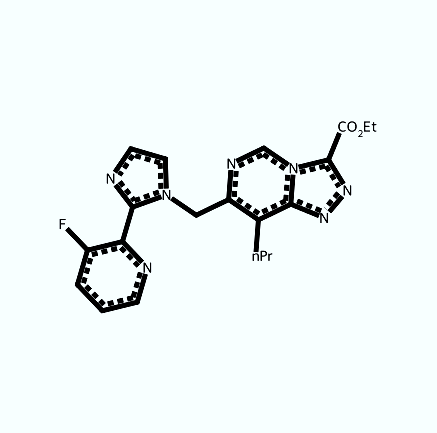 CCCc1c(Cn2ccnc2-c2ncccc2F)ncn2c(C(=O)OCC)nnc12